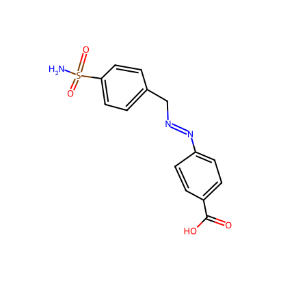 NS(=O)(=O)c1ccc(CN=Nc2ccc(C(=O)O)cc2)cc1